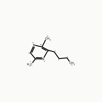 CCCCc1nc(C)cnc1C